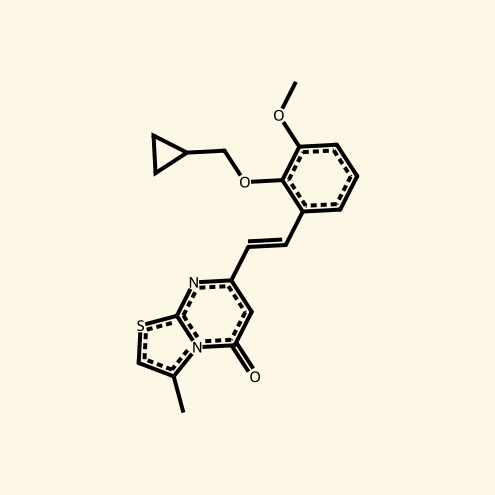 COc1cccc(/C=C/c2cc(=O)n3c(C)csc3n2)c1OCC1CC1